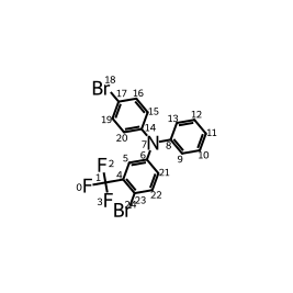 FC(F)(F)c1cc(N(c2ccccc2)c2ccc(Br)cc2)ccc1Br